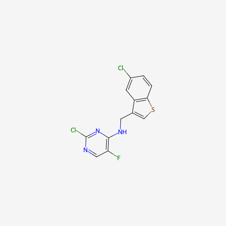 Fc1cnc(Cl)nc1NCc1csc2ccc(Cl)cc12